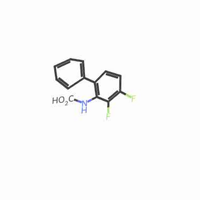 O=C(O)Nc1c(-c2ccccc2)ccc(F)c1F